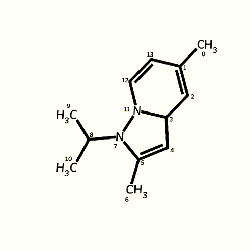 CC1=CC2C=C(C)N(C(C)C)N2C=C1